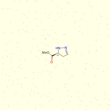 COC(=O)[C@@H]1CC=NN1